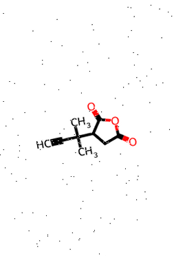 C#CC(C)(C)C1CC(=O)OC1=O